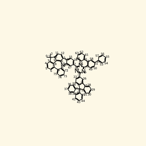 CC1(C)c2cccc3c2-c2c1ccc1c4ccc(-c5nc(-c6ccc7c(c6)-c6ccccc6C7(c6ccccc6)c6ccccc6)nc(-c6ccc(-c7ccccc7)cc6-c6ccccc6)n5)cc4n(c21)-c1ccccc1-3